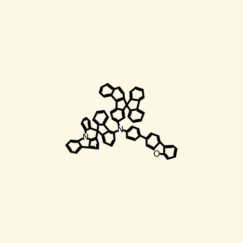 c1ccc2c(c1)-c1ccccc1C21c2cc(N(c3ccc(-c4ccc5c(c4)oc4ccccc45)cc3)c3cccc4c3-c3ccccc3C43c4ccccc4-n4c5ccccc5c5cccc3c54)ccc2-c2c1ccc1ccccc21